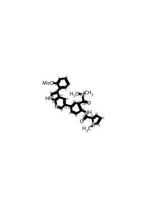 COc1ccccc1-c1c[nH]c2ncc(-c3ccc(NC(=O)c4cccn4C)c(C(=O)N(C)C)c3)cc12